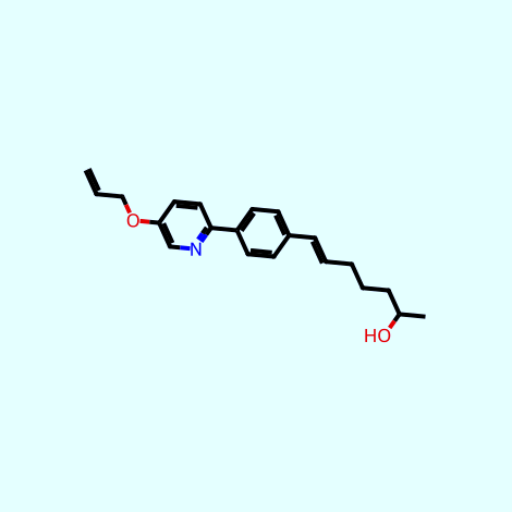 C=CCOc1ccc(-c2ccc(/C=C/CCCC(C)O)cc2)nc1